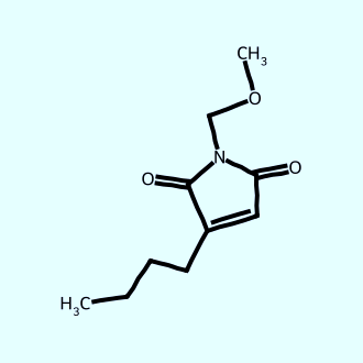 CCCCC1=CC(=O)N(COC)C1=O